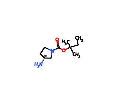 CCC(C)(C)OC(=O)N1CC[C@@H](N)C1